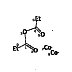 CCC(=O)OC(=O)CC.[Co].[Co]